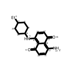 CCC1CCC(NC2=C3C(=O)C=CC(N)=C3C(=O)C=C2)CC1